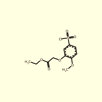 CCOC(=O)COc1cc(S(=O)(=O)Cl)ccc1OC